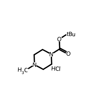 CN1CCN(C(=O)OC(C)(C)C)CC1.Cl